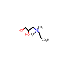 C[N+](C)(CCC(=O)O)CC(O)CO